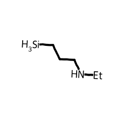 CCNCCC[SiH3]